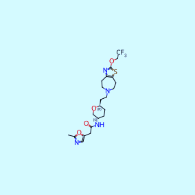 Cc1ncc(CC(=O)N[C@H]2CC[C@H](CCN3CCc4nc(OCC(F)(F)F)sc4CC3)OC2)o1